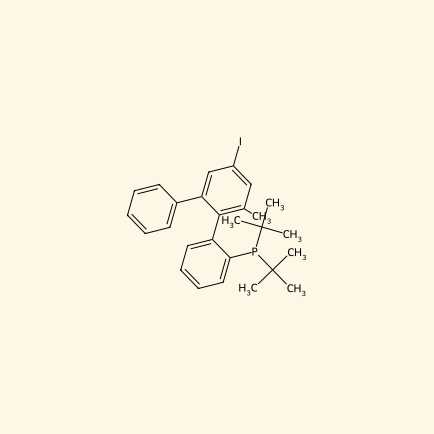 Cc1cc(I)cc(-c2ccccc2)c1-c1ccccc1P(C(C)(C)C)C(C)(C)C